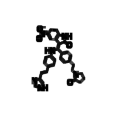 O=C1Nc2ccc([N+](=O)[O-])cc2C1=C(Nc1ccc(C=Cc2c[nH]cn2)cc1)c1ccc(CCN2CCCC2=O)cc1